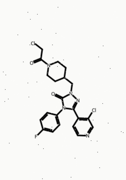 O=C(CCl)N1CCC(Cn2nc(-c3ccncc3Cl)n(-c3ccc(F)cc3)c2=O)CC1